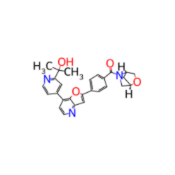 CC(C)(O)c1cc(-c2ccnc3cc(-c4ccc(C(=O)N5C[C@@H]6C[C@H]5CO6)cc4)oc23)ccn1